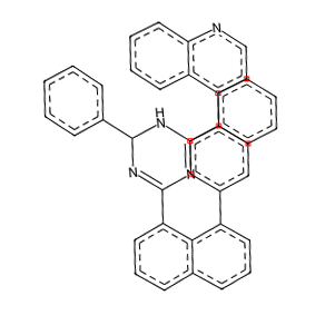 c1ccc(C2=NC(c3cccc4cccc(-c5ccc(-c6ccnc7ccccc67)cc5)c34)=NC(c3ccccc3)N2)cc1